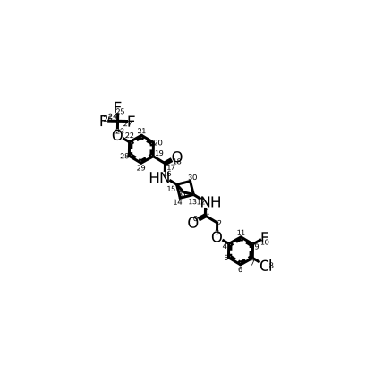 O=C(COc1ccc(Cl)c(F)c1)NC12CC(NC(=O)c3ccc(OC(F)(F)F)cc3)(C1)C2